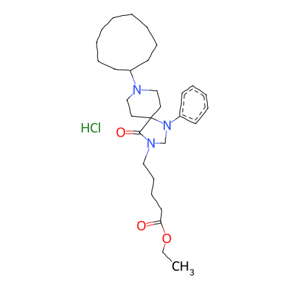 CCOC(=O)CCCCN1CN(c2ccccc2)C2(CCN(C3CCCCCCCCC3)CC2)C1=O.Cl